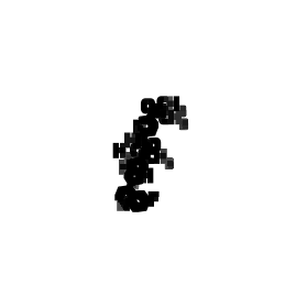 CN(C)C(=O)c1ccc(NC(=O)C(C)(C)[C@H]2C[C@H]3C[C@@H](c4ccnc5ccc(F)cc45)C[C@H]3C2)nc1